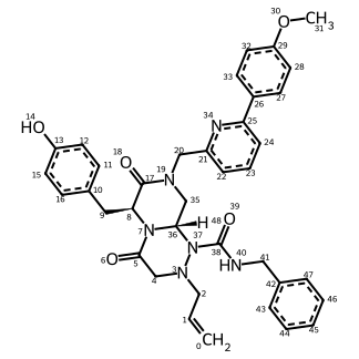 C=CCN1CC(=O)N2[C@@H](Cc3ccc(O)cc3)C(=O)N(Cc3cccc(-c4ccc(OC)cc4)n3)C[C@@H]2N1C(=O)NCc1ccccc1